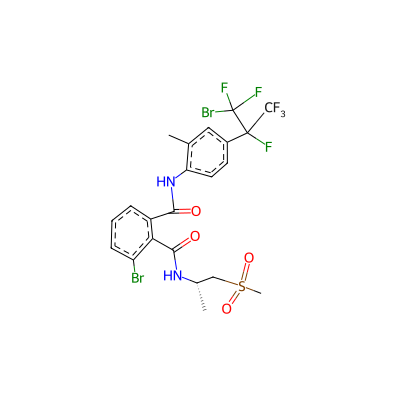 Cc1cc(C(F)(C(F)(F)F)C(F)(F)Br)ccc1NC(=O)c1cccc(Br)c1C(=O)N[C@@H](C)CS(C)(=O)=O